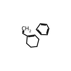 C=CC1=CCCCC1.c1ccccc1